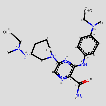 CN(CC=O)N[C@@H]1CCCN(c2cnc(C(N)=O)c(Nc3ccc(N(C)CC=O)cc3)n2)C1